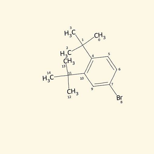 CC(C)(C)c1ccc(Br)cc1C(C)(C)C